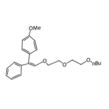 CCCCOCCOCCO/C=C(/c1ccccc1)c1ccc(OC)cc1